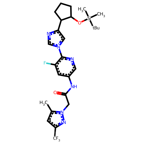 Cc1cc(C(F)(F)F)nn1CC(=O)Nc1cnc(-n2cnc(C3CCCC3O[Si](C)(C)C(C)(C)C)c2)c(F)c1